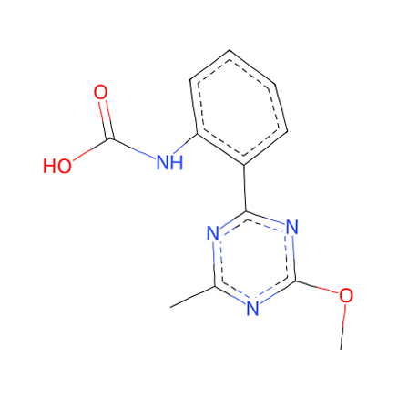 COc1nc(C)nc(-c2ccccc2NC(=O)O)n1